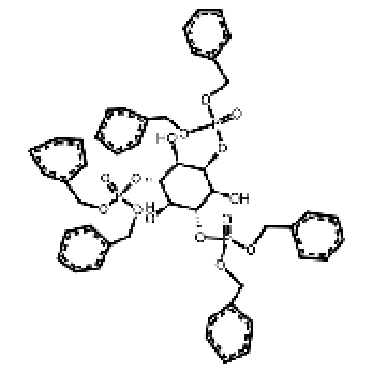 O=P(OCc1ccccc1)(OCc1ccccc1)O[C@H]1[C@H](O)[C@H](OP(=O)(OCc2ccccc2)OCc2ccccc2)[C@H](O)[C@@H](OP(=O)(OCc2ccccc2)OCc2ccccc2)[C@@H]1O